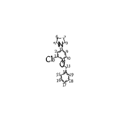 Clc1cc(N2CCCC2)ccc1OCc1ccccc1